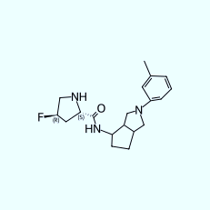 Cc1cccc(N2CC3CCC(NC(=O)[C@@H]4C[C@@H](F)CN4)C3C2)c1